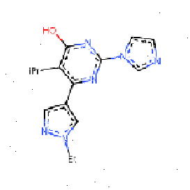 CCn1cc(-c2nc(-n3ccnc3)nc(O)c2C(C)C)cn1